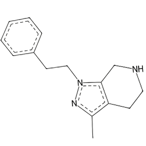 Cc1nn(CCc2ccccc2)c2c1CCNC2